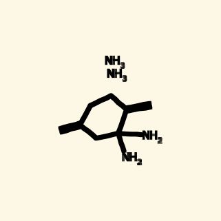 C=C1CCC(=C)C(N)(N)C1.N.N